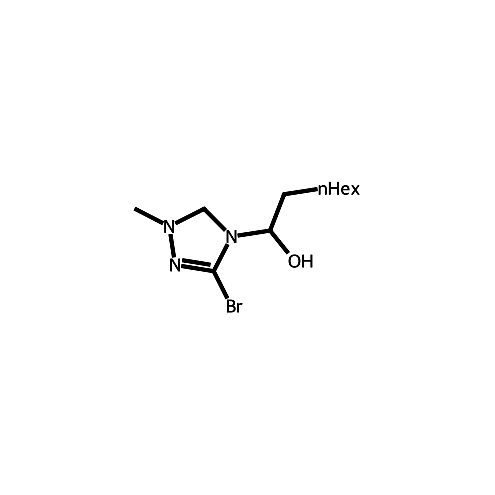 CCCCCCCC(O)N1CN(C)N=C1Br